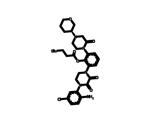 CC(C)(C)CCC(=O)Oc1c(N2CCN([C@H]3CCCOC3)CC2=O)cccc1N1CCN(c2cc(Cl)ccc2N)C(=O)C1=O